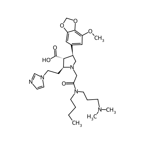 CCCCN(CCCN(C)C)C(=O)CN1C[C@H](c2cc(OC)c3c(c2)OCO3)[C@@H](C(=O)O)[C@@H]1CCn1ccnc1